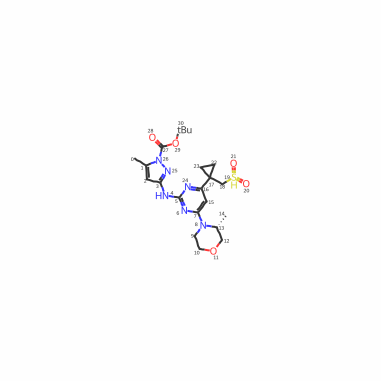 Cc1cc(Nc2nc(N3CCOC[C@H]3C)cc(C3(C[SH](=O)=O)CC3)n2)nn1C(=O)OC(C)(C)C